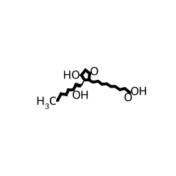 CCCCC[C@H](O)/C=C/[C@@H]1C(CCCCCCCCC(=O)O)C(=O)C[C@H]1O